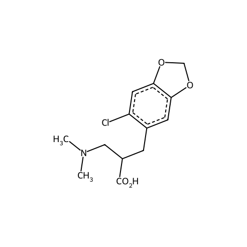 CN(C)CC(Cc1cc2c(cc1Cl)OCO2)C(=O)O